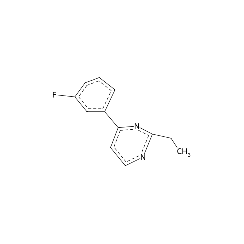 CCc1nccc(-c2cccc(F)c2)n1